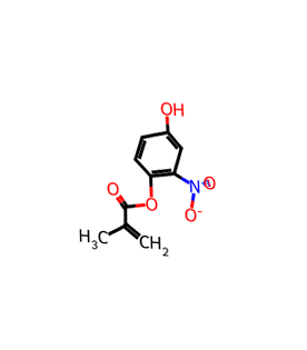 C=C(C)C(=O)Oc1ccc(O)cc1[N+](=O)[O-]